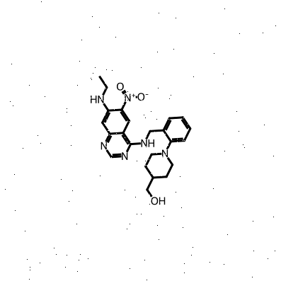 CCNc1cc2ncnc(NCc3ccccc3N3CCC(CO)CC3)c2cc1[N+](=O)[O-]